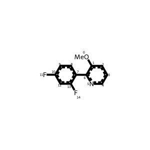 COc1cccnc1-c1ccc(F)cc1F